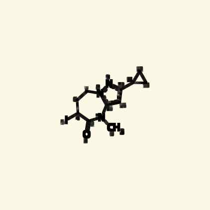 CN1C(=O)C(I)CCn2nc(C3CC3)cc21